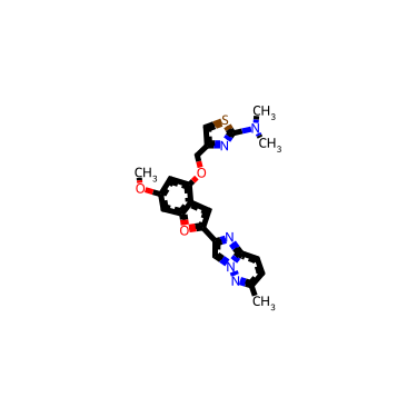 COc1cc(OCc2csc(N(C)C)n2)c2cc(-c3cn4nc(C)ccc4n3)oc2c1